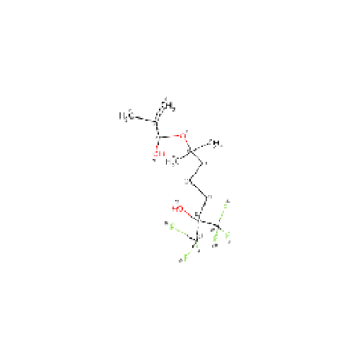 C=C(C)C(O)OC(C)(C)CCCC(O)(C(F)(F)F)C(F)(F)F